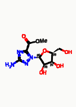 COC(=O)c1nc(N)nn1[C@@H]1O[C@H](CO)[C@@H](O)[C@H]1O